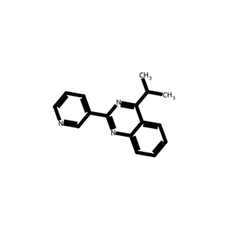 CC(C)c1nc(-c2cccnc2)nc2ccccc12